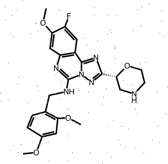 COc1ccc(CNc2nc3cc(OC)c(F)cc3c3nc([C@H]4CNCCO4)nn23)c(OC)c1